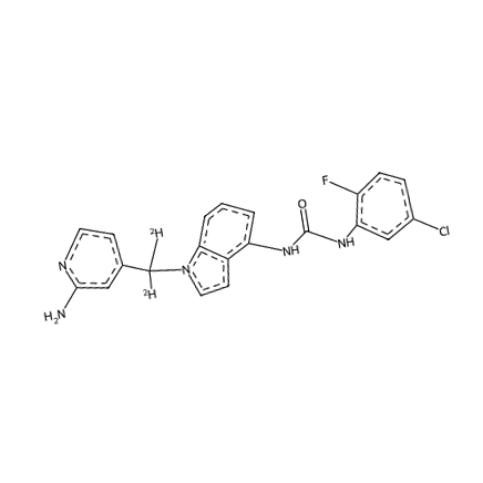 [2H]C([2H])(c1ccnc(N)c1)n1ccc2c(NC(=O)Nc3cc(Cl)ccc3F)cccc21